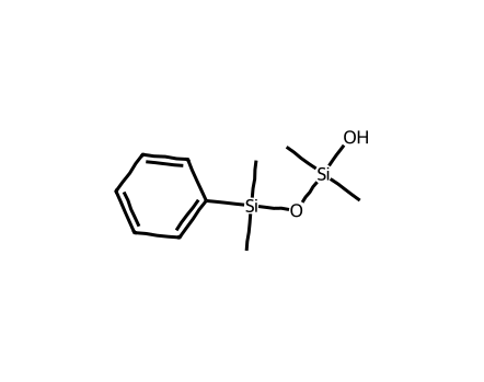 C[Si](C)(O)O[Si](C)(C)c1ccccc1